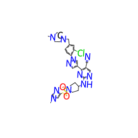 CN1CCN(Cc2ccc(-n3cc(-c4nc(NC5CCN(S(=O)(=O)c6cn(C)cn6)CC5)ncc4C#N)cn3)c(Cl)c2)CC1